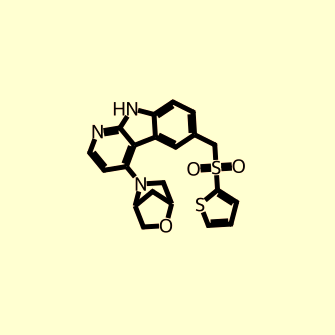 O=S(=O)(Cc1ccc2[nH]c3nccc(N4CC5CC4CO5)c3c2c1)c1cccs1